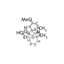 CC[C@](O)(c1cccc(OC)c1)C1(CN(C)C)CCCCC1.Cl